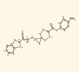 Nc1ccc(CC(=O)N2CCC3(CC2)CC3CNC(=O)N2Cc3ccncc3C2)cn1